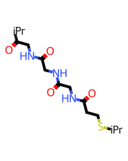 CC(C)SCCC(=O)NCC(=O)NCC(=O)NCC(=O)C(C)C